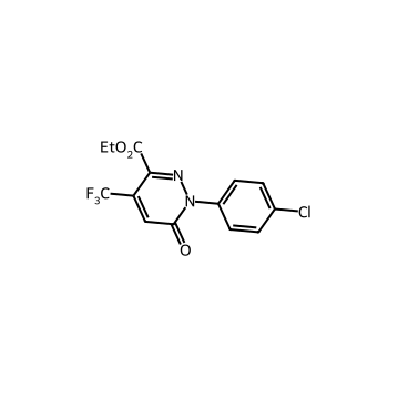 CCOC(=O)c1nn(-c2ccc(Cl)cc2)c(=O)cc1C(F)(F)F